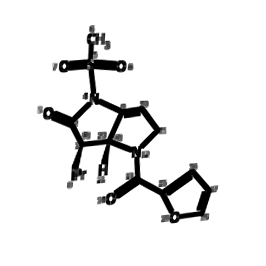 CC(C)[C@H]1C(=O)N(S(C)(=O)=O)C2=CCN(C(=O)c3ccco3)[C@@H]21